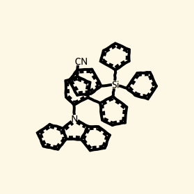 N#Cc1ccc(-n2c3ccccc3c3ccccc32)c(-c2ccccc2[Si](c2ccccc2)(c2ccccc2)c2ccccc2)c1